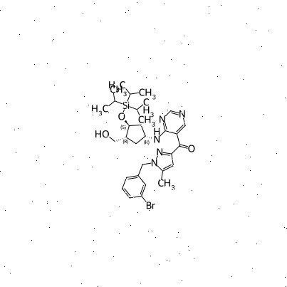 Cc1cc(C(=O)c2cncnc2N[C@@H]2C[C@H](CO)[C@@H](O[Si](C(C)C)(C(C)C)C(C)C)C2)nn1Cc1cccc(Br)c1